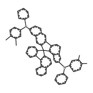 Cc1ccc(N(c2ccccc2)c2ccc3cc4c(cc3c2)C2(c3ccccc3-c3c2ccc2ccccc32)c2c-4ccc3cc(N(c4ccccc4)c4ccc(C)c(C)c4)ccc23)cc1C